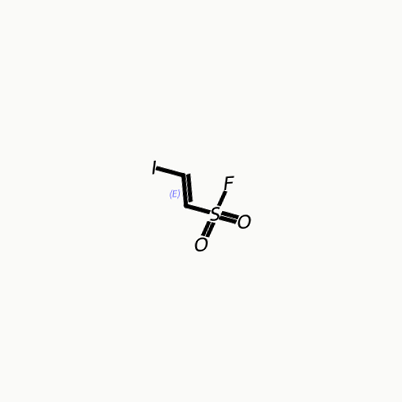 O=S(=O)(F)/C=C/I